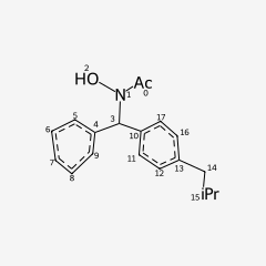 CC(=O)N(O)C(c1ccccc1)c1ccc(CC(C)C)cc1